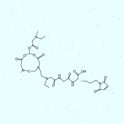 CCN(C)CC(=O)OC1OC(=O)CN(C)CCN(CCN(CC)CC(=O)NCC(=O)N[C@@H](CCCCN2C(=O)C=CC2=O)C(=O)O)CC(=O)O1